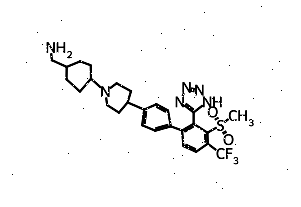 CS(=O)(=O)c1c(C(F)(F)F)ccc(-c2ccc(C3CCN(C4CCC(CN)CC4)CC3)cc2)c1-c1nnn[nH]1